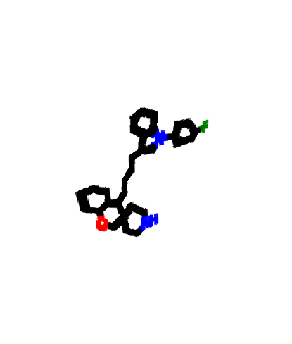 Fc1ccc(-n2cc(CCCCC3=C4C=CC=CC4OCC34CCNCC4)c3ccccc32)cc1